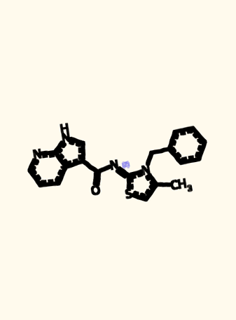 Cc1cs/c(=N\C(=O)c2c[nH]c3ncccc23)n1Cc1ccccc1